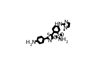 Cn1ccnc1Nc1ccc(-c2cnc(-c3ccc(N)cc3)s2)c(S(N)(=O)=O)c1